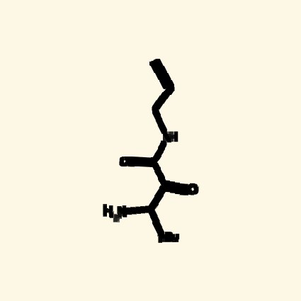 C=CCNC(=O)C(=O)C(N)CCCC